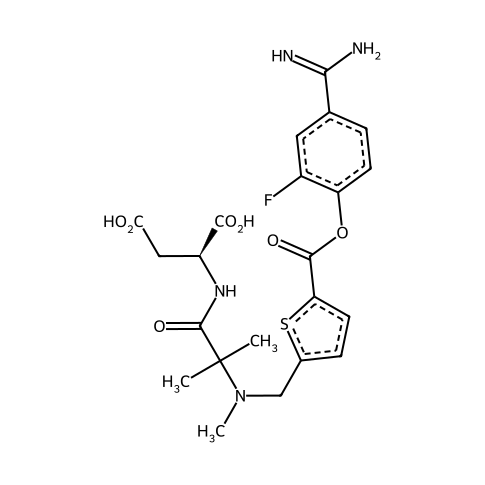 CN(Cc1ccc(C(=O)Oc2ccc(C(=N)N)cc2F)s1)C(C)(C)C(=O)N[C@@H](CC(=O)O)C(=O)O